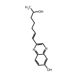 CC(O)CCCC=Cc1cnc2cc(O)ccc2n1